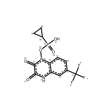 O=c1[nH]c2cc(C(F)(F)F)ccc2n(OP(=O)(O)C2CC2)c1=O